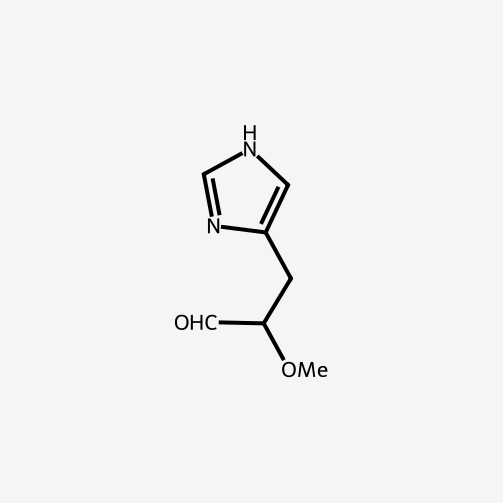 COC(C=O)Cc1c[nH]cn1